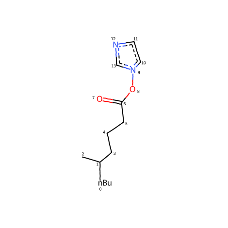 CCCCC(C)CCCC(=O)On1ccnc1